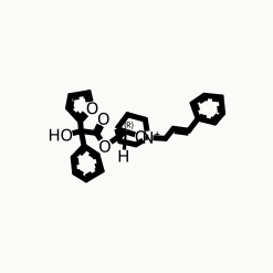 O=C(O[C@H]1C[N+]2(CC=Cc3ccccc3)CCC1CC2)C(O)(c1ccccc1)c1ccco1